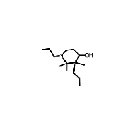 CCCN1CCC(O)C(C)(CCC)C1(C)C